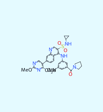 COc1ncc(-c2ccc3c(Nc4cc(C(=O)N5CCCC5)cc([N+](=O)[O-])c4)c(S(=O)(=O)NC4CC4)cnc3c2)c(OC)n1